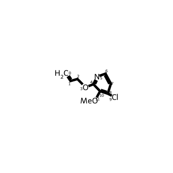 C=CCOc1nccc(Cl)c1OC